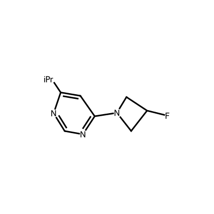 CC(C)c1cc(N2CC(F)C2)ncn1